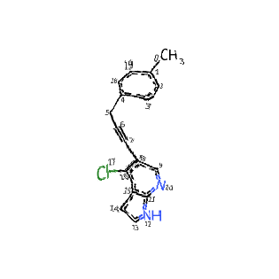 Cc1ccc(CC#Cc2cnc3[nH]ccc3c2Cl)cc1